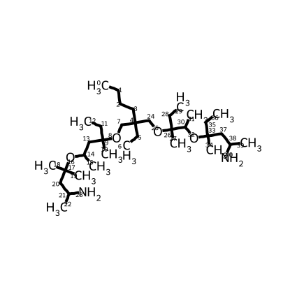 CCCCC(CC)(COC(C)(CC)CC(C)OC(C)(C)CC(C)N)COC(C)(CC)C(C)OC(C)(CC)CC(C)N